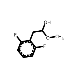 COC(O)Cc1c(F)cccc1F